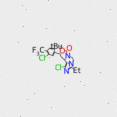 CCc1nc(Cl)c2n1CCN(C(=O)OC(C)(C)C)C2CCc1ccc(C(F)(F)F)c(Cl)c1